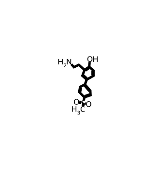 CS(=O)(=O)c1ccc(-c2ccc(O)c(CCN)c2)cc1